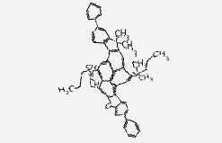 CCC[Si](C)(C)c1cc2c3c(cc4c([Si](C)(C)CCC)cc5c6c(cc1c5c42)C(C)(C)c1cc(-c2ccccc2)ccc1-6)oc1cc(-c2ccccc2)ccc13